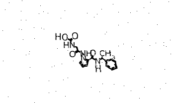 CC(NC(=O)c1cccn1NC(=O)CNC(=O)O)c1ccccc1